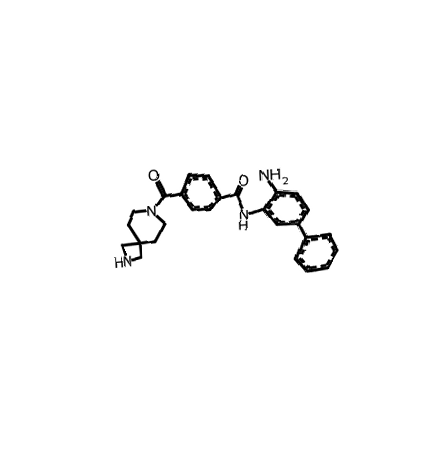 Nc1ccc(-c2ccccc2)cc1NC(=O)c1ccc(C(=O)N2CCC3(CC2)CNC3)cc1